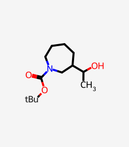 CC(O)C1CCCCN(C(=O)OC(C)(C)C)C1